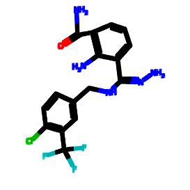 N/N=C(/NCc1ccc(Cl)c(C(F)(F)F)c1)c1cccc(C(N)=O)c1N